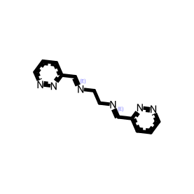 C(=N\CC/N=C/c1cccnn1)/c1cccnn1